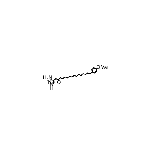 COc1ccc(CCCCCCCCCCCCCCC(=O)Cc2c[nH]nc2N)cc1